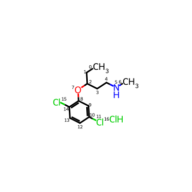 CCC(CCNC)Oc1cc(Cl)ccc1Cl.Cl